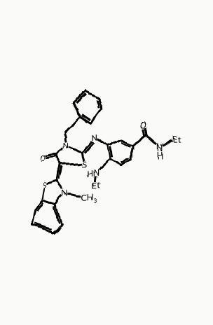 CCNC(=O)c1ccc(NCC)c(N=C2SC(=C3Sc4ccccc4N3C)C(=O)N2Cc2ccccc2)c1